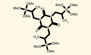 CO[Si](OC)(OC)C(C)Cn1c(=O)n(CC(C)[Si](OC)(OC)OC)c(=O)n(CC(C)[Si](OC)(OC)OC)c1=O